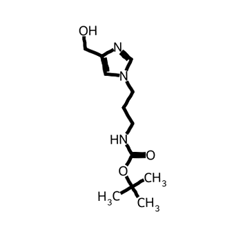 CC(C)(C)OC(=O)NCCCn1cnc(CO)c1